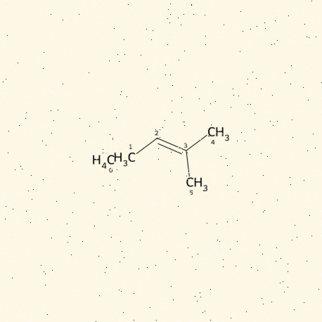 C.CC=C(C)C